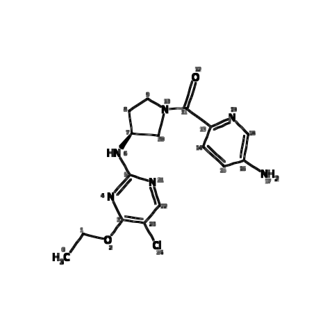 CCOc1nc(N[C@H]2CCN(C(=O)c3ccc(N)cn3)C2)ncc1Cl